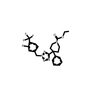 CCOC(=O)N1CCC(c2ccccc2)(c2nnn(Cc3ccc(C(F)(F)F)c(F)c3)n2)CC1